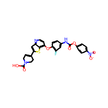 O=C(Nc1ccc(Oc2ccnc3cc(C4=CCN(C(=O)O)CC4)sc23)c(F)c1)Oc1ccc([N+](=O)[O-])cc1